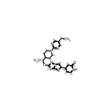 CCc1cnc(N2CCC([C@@H](C)Oc3nn4cc(-c5cc[nH]c(=O)c5)nc4s3)CC2)nc1